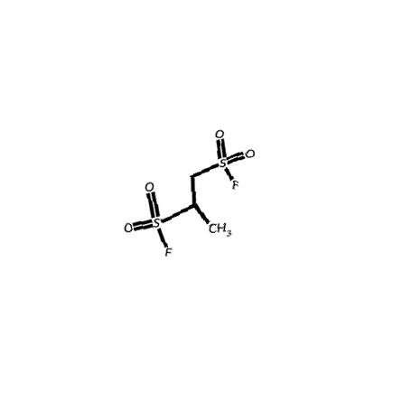 CC(CS(=O)(=O)F)S(=O)(=O)F